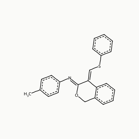 Cc1ccc(/N=C2\OCc3ccccc3\C2=C/Sc2ccccc2)cc1